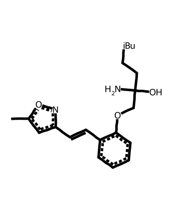 CCC(C)CCC(N)(O)COc1ccccc1C=Cc1cc(C)on1